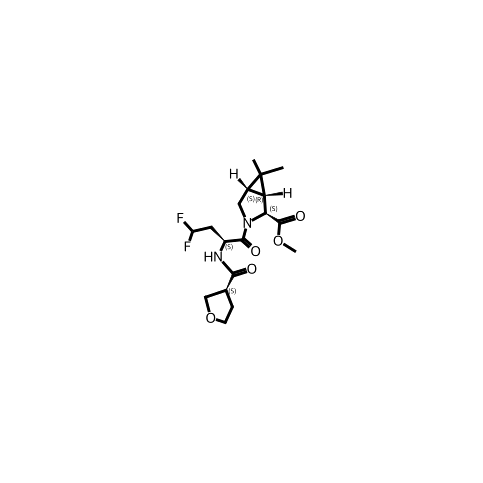 COC(=O)[C@@H]1[C@@H]2[C@H](CN1C(=O)[C@H](CC(F)F)NC(=O)[C@H]1CCOC1)C2(C)C